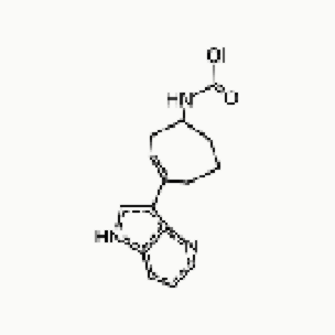 O=C(O)NC1CC=C(c2c[nH]c3cccnc23)CCC1